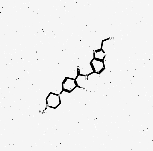 Cc1cc(N2CCN(C)CC2)ccc1C(=O)Nc1ccc2sc(CO)nc2c1